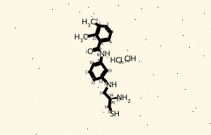 Cc1cccc(C(=O)Nc2cccc(NC[C@@H](N)CS)c2)c1C.Cl.Cl